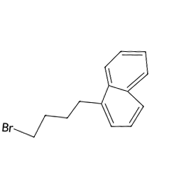 BrCCCCc1cccc2ccccc12